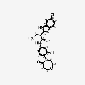 CCC(C(=O)Nc1ccc(N2CCOCCC2=O)c(Cl)c1)c1nc2ccc(Cl)cc2[nH]1